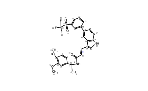 COc1ccc([C@@H](C)NC(=O)/C=C/c2c[nH]c3ncc(-c4cccc(S(=O)(=O)C(F)(F)F)c4)cc23)cc1OC